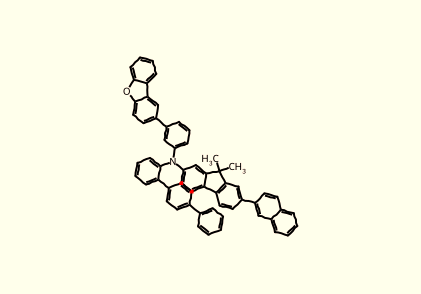 CC1(C)c2cc(-c3ccc4ccccc4c3)ccc2-c2ccc(N(c3cccc(-c4ccc5oc6ccccc6c5c4)c3)c3ccccc3-c3ccc(-c4ccccc4)cc3)cc21